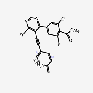 C=C(N)/C=C\C(C#Cc1c(CC)ncnc1-c1cc(F)c(C(=O)OC)c(Cl)c1)=C/N